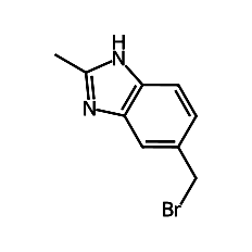 Cc1nc2cc(CBr)ccc2[nH]1